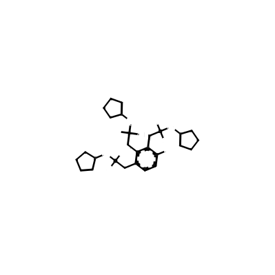 CC(C)(Cc1ccc(O)c(CC(C)(C)OC2CCCC2)c1CC(C)(C)OC1CCCC1)OC1CCCC1